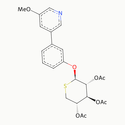 COc1cncc(-c2cccc(O[C@@H]3SC[C@@H](OC(C)=O)[C@H](OC(C)=O)[C@H]3OC(C)=O)c2)c1